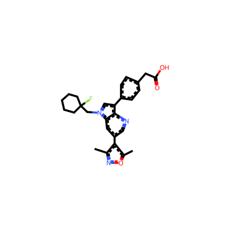 Cc1noc(C)c1-c1cnc2c(-c3ccc(CC(=O)O)cc3)cn(CC3(F)CCCCC3)c2c1